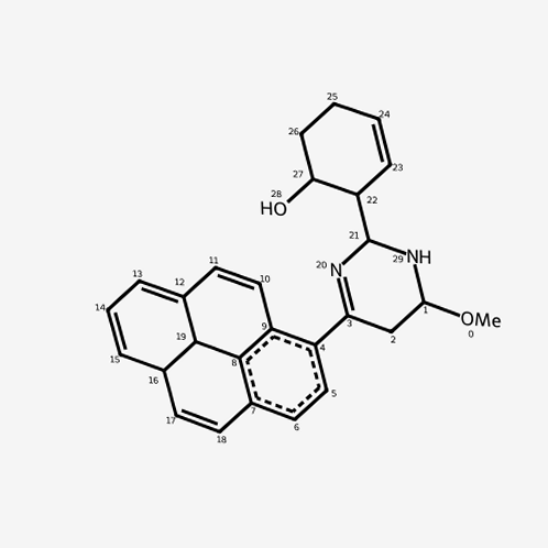 COC1CC(c2ccc3c4c2C=CC2=CC=CC(C=C3)C24)=NC(C2C=CCCC2O)N1